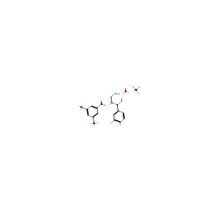 Cc1cc(C2CN(C(=O)OC(C)(C)C)CCC2NC(=O)c2cc(C(F)(F)F)cc(C(F)(F)F)c2)ccc1F